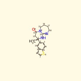 C[C@@]1(c2ccc3sccc3c2)CC(=O)N2CCCCN=C2N1